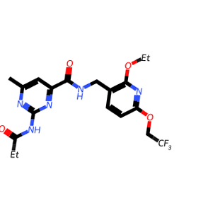 CCOc1nc(OCC(F)(F)F)ccc1CNC(=O)c1cc(C)nc(NC(=O)CC)n1